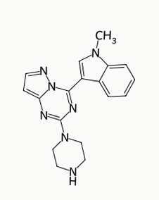 Cn1cc(-c2nc(N3CCNCC3)nc3ccnn23)c2ccccc21